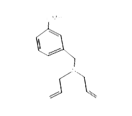 C=CCN(CC=C)Cc1cccc(OC)c1